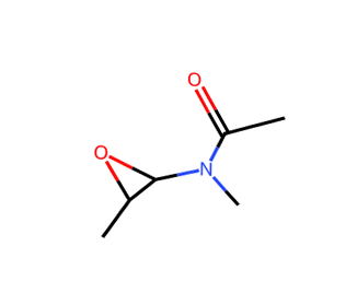 CC(=O)N(C)C1OC1C